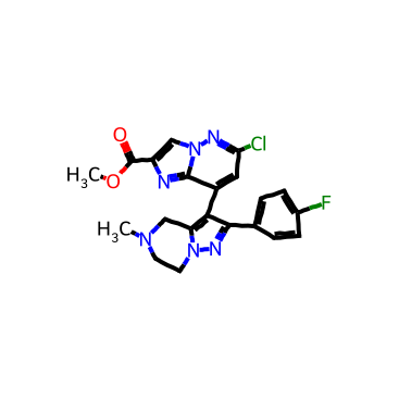 COC(=O)c1cn2nc(Cl)cc(-c3c(-c4ccc(F)cc4)nn4c3CN(C)CC4)c2n1